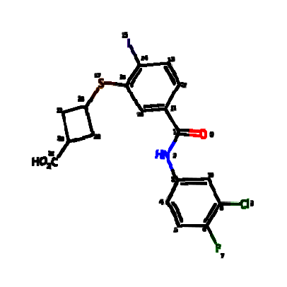 O=C(Nc1ccc(F)c(Cl)c1)c1ccc(I)c(SC2CC(C(=O)O)C2)c1